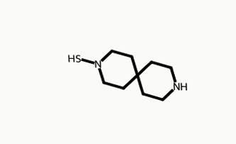 SN1CCC2(CCNCC2)CC1